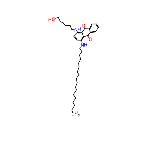 CCCCCCCCCCCCCCCCCCNc1ccc(NCCCCCCO)c2c1C(=O)c1ccccc1C2=O